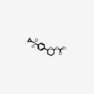 CCC(=O)OC1CCCC(c2ccc(S(=O)(=O)C3CC3)cc2)O1